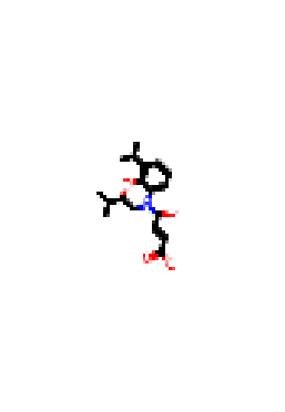 CC(C)c1cccc2c1OC(C(C)C)CN2C(=O)/C=C/C(=O)O